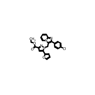 CCOC(=O)c1cc(-c2ccco2)n(Cc2c(-c3ccc(Cl)cc3)nc3ccccn23)n1